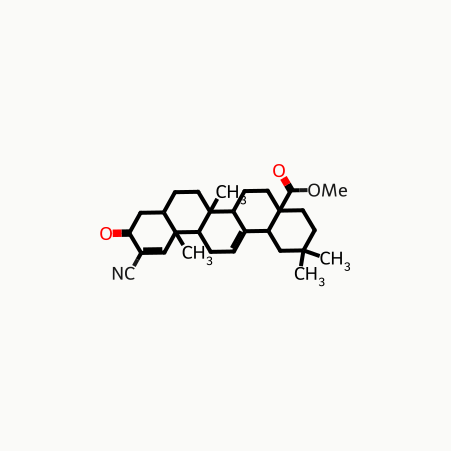 COC(=O)C12CCC3C(=CCC4C5(C)C=C(C#N)C(=O)CC5CCC34C)C1CC(C)(C)CC2